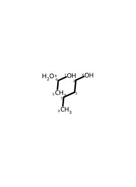 CCCCO.CCO.O